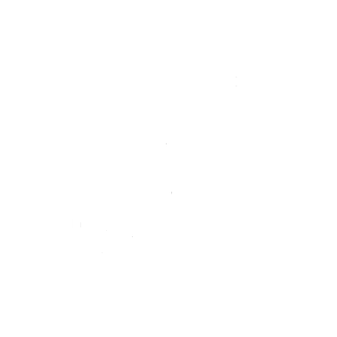 O=S(=O)(c1cccc(C(Br)(Br)Br)c1)c1cccc(C(Br)(Br)Br)c1